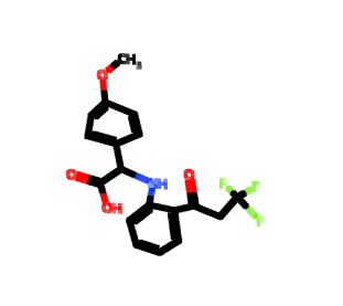 COc1ccc(C(Nc2ccccc2C(=O)CC(F)(F)F)C(=O)O)cc1